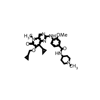 COc1cc(C(=O)NC2CCN(C)CC2)ccc1Nc1ncc2c(n1)c(C1CC1)c(OCC1CC1)c(=O)n2C